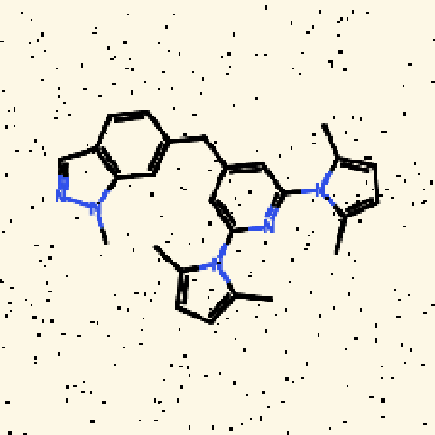 Cc1ccc(C)n1-c1cc(Cc2ccc3cnn(C)c3c2)cc(-n2c(C)ccc2C)n1